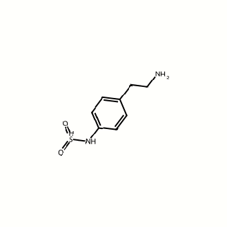 NCCc1ccc(N[SH](=O)=O)cc1